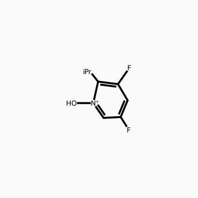 CC(C)c1c(F)cc(F)c[n+]1O